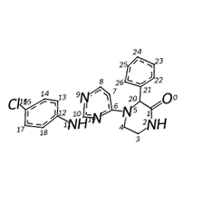 O=C1NCCN(c2ccnc(Nc3ccc(Cl)cc3)n2)C1c1ccccc1